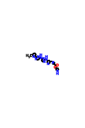 Cc1cccc(-c2nccc(Nc3ccnc(Nc4cncc(CN5CC(C(=O)O[C@@H]6CCNC6)C5)c4)n3)n2)n1